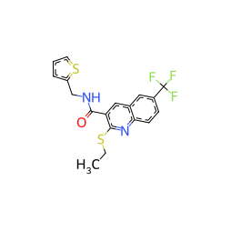 CCSc1nc2ccc(C(F)(F)F)cc2cc1C(=O)NCc1cccs1